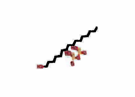 CCCCCCCCCCCCCCCCO.O=[PH](O)O[PH](=O)O